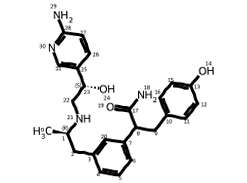 C[C@H](Cc1cccc(C(Cc2ccc(O)cc2)C(N)=O)c1)NC[C@@H](O)c1ccc(N)nc1